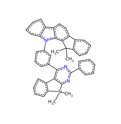 CC1(C)c2ccccc2-c2ccc3c4ccccc4n(-c4cccc(-c5nc(-c6ccccc6)nc6c5-c5ccccc5[Si]6(C)C)c4)c3c21